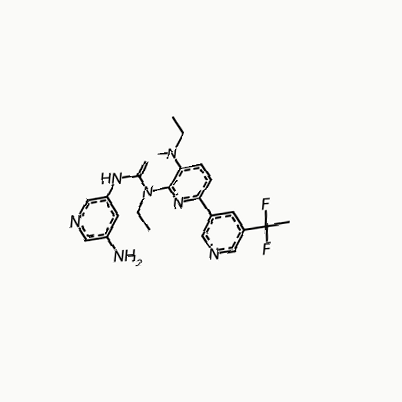 C=C(Nc1cncc(N)c1)N(CC)c1nc(-c2cncc(C(C)(F)F)c2)ccc1N(C)CC